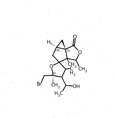 CC(O)C1C(C)C2(C[C@H]3C[C@]34C(=O)OC(C)C24C)O[C@]1(C)CBr